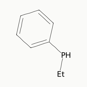 [CH2]CPc1ccccc1